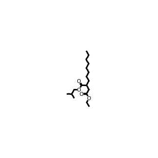 CCCCCCCCC(CC(=O)OCC)C(=O)OCC(C)C